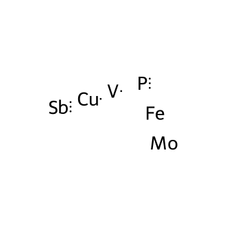 [Cu].[Fe].[Mo].[P].[Sb].[V]